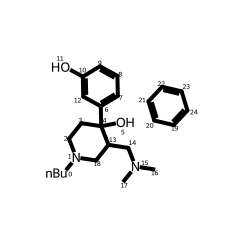 CCCCN1CCC(O)(c2cccc(O)c2)C(CN(C)C)C1.c1ccccc1